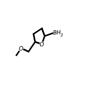 BC1CCC(COC)O1